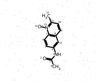 CC(=O)Nc1ccc2c(ccc(C)[n+]2[O-])c1